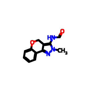 Cn1nc2c(c1NC=O)COc1ccccc1-2